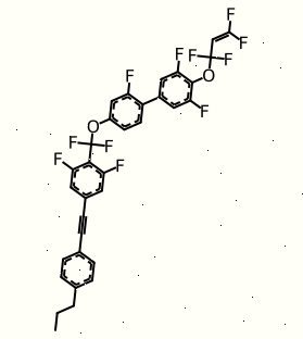 CCCc1ccc(C#Cc2cc(F)c(C(F)(F)Oc3ccc(-c4cc(F)c(OC(F)(F)C=C(F)F)c(F)c4)c(F)c3)c(F)c2)cc1